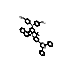 CC(C)(C)c1ccc(N(c2ccc(C(C)(C)C)cc2)c2cc3c4c(c2)c2c5ccccc5ccc2n4-c2ccc(-c4cc(-c5ccccc5)nc(-c5ccccc5)n4)cc2C3(C)C)cc1